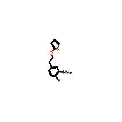 CCc1ccc(CCOc2cccs2)cc1NC